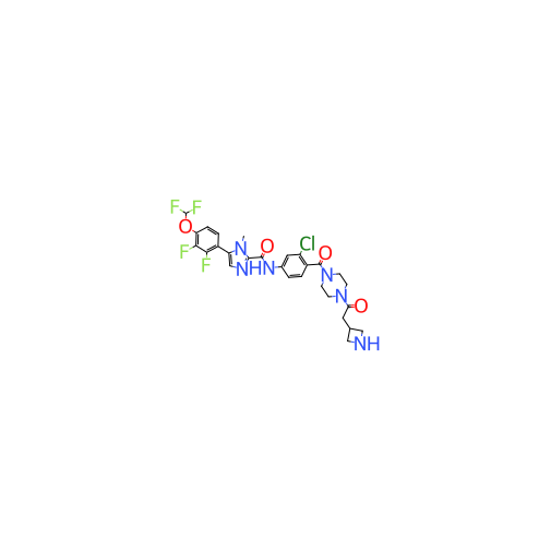 Cn1c(-c2ccc(OC(F)F)c(F)c2F)cnc1C(=O)Nc1ccc(C(=O)N2CCN(C(=O)CC3CNC3)CC2)c(Cl)c1